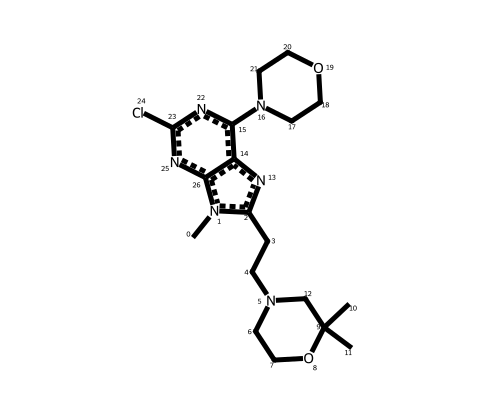 Cn1c(CCN2CCOC(C)(C)C2)nc2c(N3CCOCC3)nc(Cl)nc21